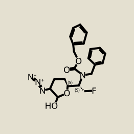 [N-]=[N+]=NC1CC[C@@H]([C@@H](CF)N(Cc2ccccc2)C(=O)OCc2ccccc2)OC1O